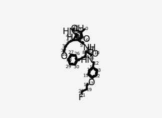 CC(C)C[C@H]1C(=O)N[C@H](C(=O)NCc2ccc(OCCCF)cc2)Cc2ccc(cc2)OCCC[C@@H]1C(=O)NO